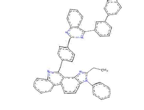 CCc1nc2c3c(-c4ccc(-c5nc(-c6cccc(-c7ccccc7)c6)c6ccccc6n5)cc4)nc4ccccc4c3ccc2n1-c1ccccc1